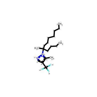 CCCCCCCC(C)(CCCC)n1ncc(C(F)(F)F)c1C